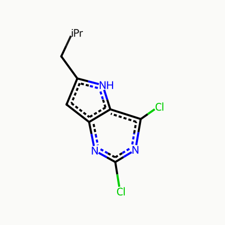 CC(C)Cc1cc2nc(Cl)nc(Cl)c2[nH]1